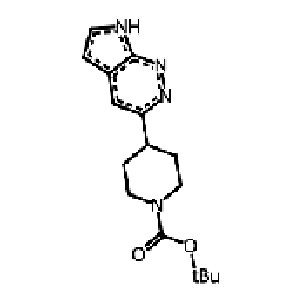 CC(C)(C)OC(=O)N1CCC(c2cc3cc[nH]c3nn2)CC1